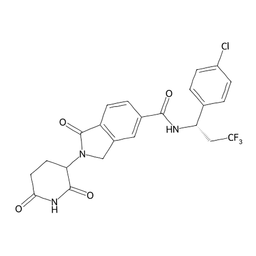 O=C1CCC(N2Cc3cc(C(=O)N[C@@H](CC(F)(F)F)c4ccc(Cl)cc4)ccc3C2=O)C(=O)N1